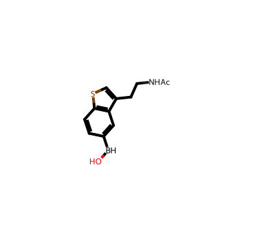 CC(=O)NCCc1csc2ccc(BO)cc12